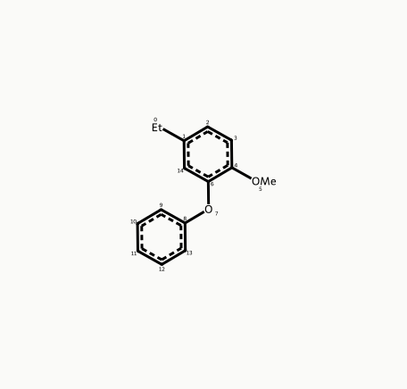 CCc1ccc(OC)c(Oc2ccccc2)c1